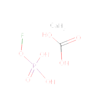 O=C(O)O.O=P(O)(O)OF.[CaH2]